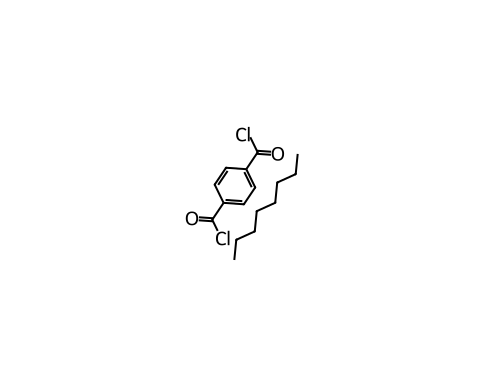 CCCCCCCC.O=C(Cl)c1ccc(C(=O)Cl)cc1